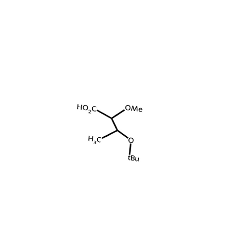 COC(C(=O)O)C(C)OC(C)(C)C